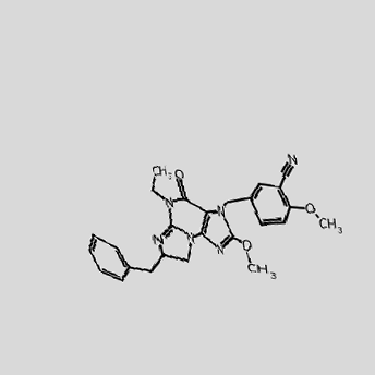 CCN1C(=O)c2c(nc(OC)n2Cc2ccc(OC)c(C#N)c2)N2CC(Cc3ccccc3)N=C12